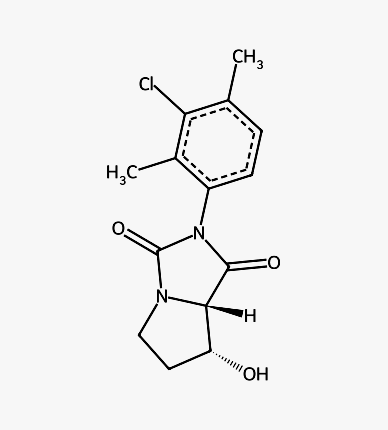 Cc1ccc(N2C(=O)[C@@H]3[C@H](O)CCN3C2=O)c(C)c1Cl